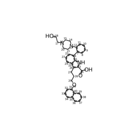 O=C(O)c1[nH]c2c(-c3ccccc3N3CCN(CCO)CC3)cccc2c1CCCOc1cccc2ccccc12